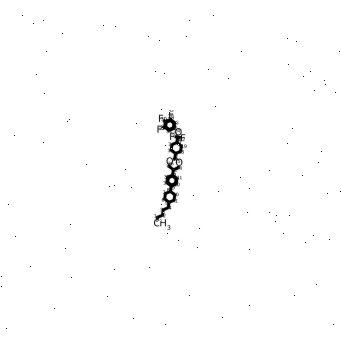 CCCCCC1CCC(c2ccc(C3COC(C4CCC(C(F)(F)Oc5cc(F)c(F)c(F)c5)CC4)OC3)cc2)CC1